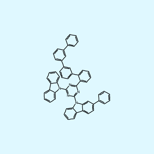 c1ccc(-c2cccc(-c3cccc(-c4ccccc4-c4nc(-n5c6ccccc6c6ccccc65)nc(-n5c6ccccc6c6ccc(-c7ccccc7)cc65)n4)c3)c2)cc1